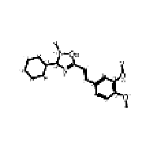 COc1ccc(C=CC2=NC(C3CCCCC3)N(C)O2)cc1OC